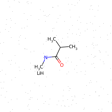 C[N]C(=O)C(C)C.[LiH]